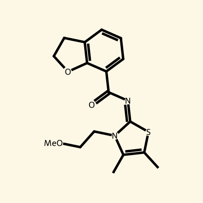 COCCn1c(C)c(C)sc1=NC(=O)c1cccc2c1OCC2